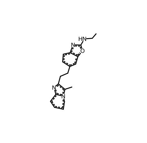 CCNc1nc2ccc(CCc3nc4ccccn4c3C)cc2o1